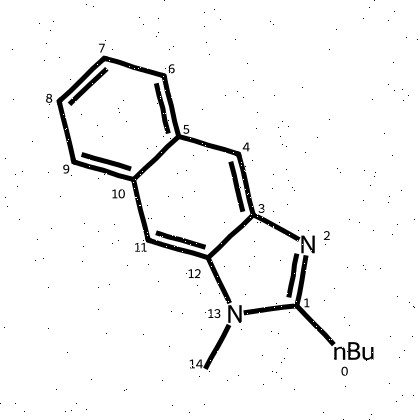 CCCCc1nc2cc3ccccc3cc2n1C